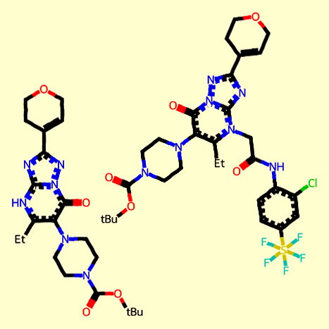 CCc1[nH]c2nc(C3=CCOCC3)nn2c(=O)c1N1CCN(C(=O)OC(C)(C)C)CC1.CCc1c(N2CCN(C(=O)OC(C)(C)C)CC2)c(=O)n2nc(C3=CCOCC3)nc2n1CC(=O)Nc1ccc(S(F)(F)(F)(F)F)cc1Cl